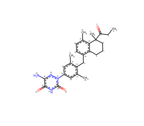 CCC(=O)C1(C)CCCc2c(Cc3c(C)cc(-n4nc(N)c(=O)[nH]c4=O)cc3C)ccc(C)c21